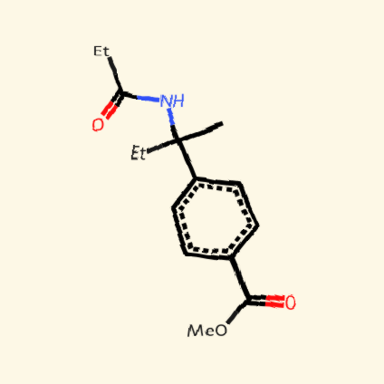 CCC(=O)NC(C)(CC)c1ccc(C(=O)OC)cc1